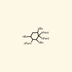 CCCCCC1C(CCCC)CC(CCCC)C(CCCCC)(CCCCC)C1CCCC